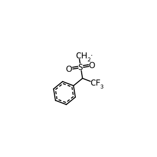 [CH2]S(=O)(=O)C(c1ccccc1)C(F)(F)F